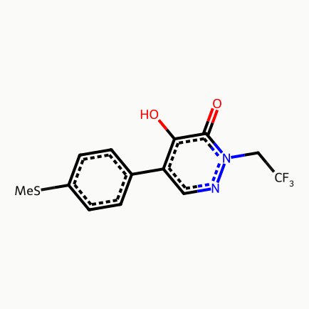 CSc1ccc(-c2cnn(CC(F)(F)F)c(=O)c2O)cc1